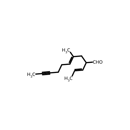 CC#CCCC=C(C)CC(C=O)C=CC